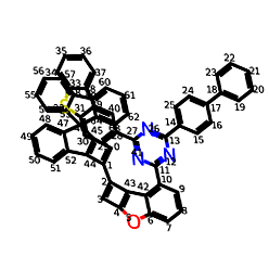 C1=C(C2=Cc3oc4cccc(-c5nc(-c6ccc(-c7ccccc7)cc6)nc(-c6ccc7sc8ccccc8c7c6)n5)c4c32)C2=C1C1(c3ccccc32)c2ccccc2-c2ccccc21